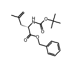 C=C(C)C[C@H](NC(=O)OC(C)(C)C)C(=O)OCc1ccccc1